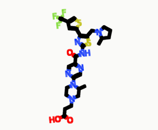 CC1CCCN1Cc1sc(NC(=O)c2cnc(N3CCN(CCC(=O)O)CC3C)cn2)nc1-c1cc(C(F)(F)F)cs1